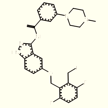 CN1CCN(c2cccc(C(=O)Nc3n[nH]c4ccc(OCc5c(F)ccc(F)c5CI)cc34)c2)CC1